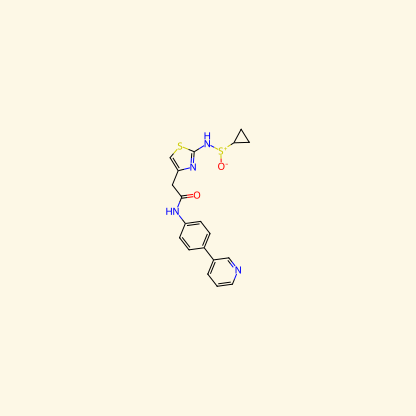 O=C(Cc1csc(N[S+]([O-])C2CC2)n1)Nc1ccc(-c2cccnc2)cc1